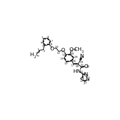 C=CCc1ccccc1OCCOc1ccc(/C=C(\C#N)C(=O)Nc2nncs2)cc1OC